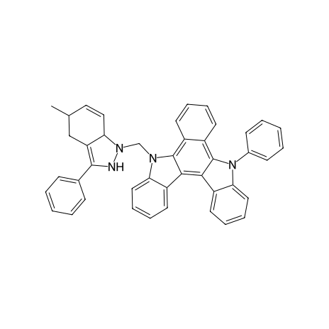 CC1C=CC2C(=C(c3ccccc3)NN2Cn2c3ccccc3c3c4c5ccccc5n(-c5ccccc5)c4c4ccccc4c32)C1